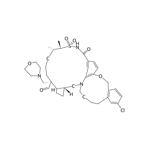 C[C@@H]1[C@@H](C)CCC[C@@](C=O)(CN2CCOCC2)[C@@H]2CC[C@H]2CN2CCCCc3cc(Cl)ccc3COc3ccc(cc32)C(=O)NS1(=O)=O